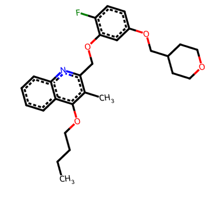 CCCCOc1c(C)c(COc2cc(OCC3CCOCC3)ccc2F)nc2ccccc12